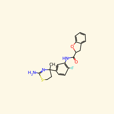 CC1(c2ccc(F)c(NC(=O)C3Cc4ccccc4O3)c2)CCSC(N)=N1